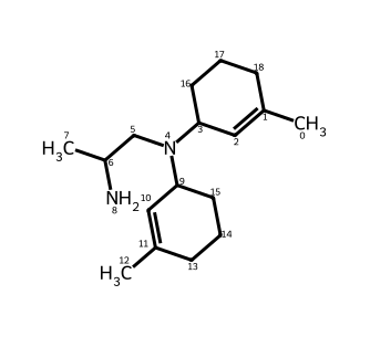 CC1=CC(N(CC(C)N)C2C=C(C)CCC2)CCC1